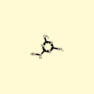 CCCCNc1nc(C)nc(N)n1